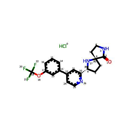 Cl.O=C1NCC[C@]12CC[C@H](c1cc(-c3cccc(OC(F)(F)F)c3)ccn1)N2